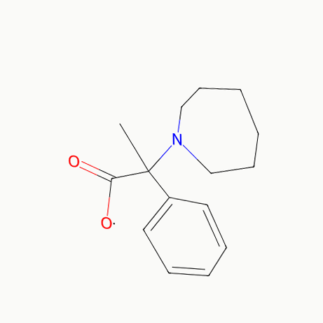 CC(C([O])=O)(c1ccccc1)N1CCCCCC1